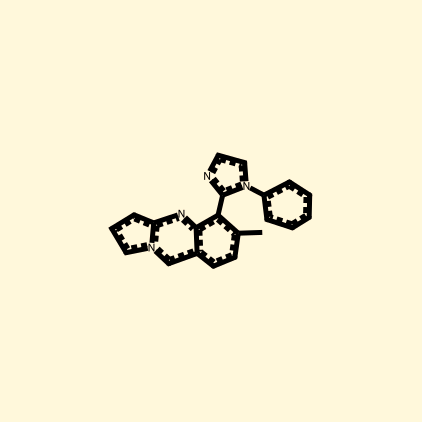 Cc1ccc2cn3cccc3nc2c1-c1nccn1-c1ccccc1